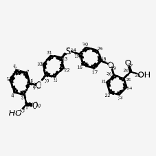 O=C(O)c1ccccc1Oc1ccc(Sc2ccc(Oc3ccccc3C(=O)O)cc2)cc1